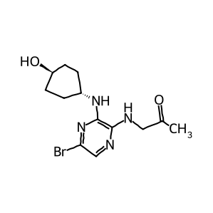 CC(=O)CNc1ncc(Br)nc1N[C@H]1CC[C@H](O)CC1